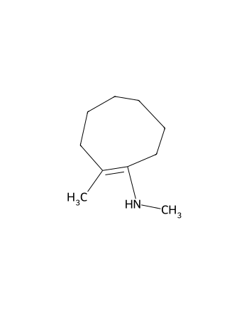 CN/C1=C(\C)CCCCCC1